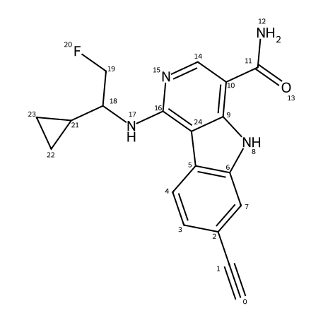 C#Cc1ccc2c(c1)[nH]c1c(C(N)=O)cnc(NC(CF)C3CC3)c12